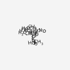 CC(C)(C)c1cc(CCc2cc(F)cc(F)c2NC(=O)NC2CCN(Cc3ccccc3)CC2)cc(C(C)(C)C)c1O.CS(=O)(=O)O